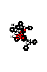 N#Cc1ccc(-c2cccc(-n3c4ccccc4c4cc(-c5nc(-c6ccccc6)nc(-c6ccccc6)n5)ccc43)c2-c2nc(-c3ccccc3)nc(-c3c(C#N)cccc3-n3c4ccccc4c4cc(-c5nc(-c6ccccc6)nc(-c6ccccc6)n5)ccc43)n2)cc1